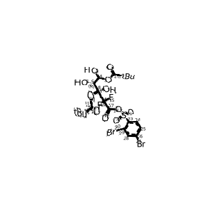 CC(C)(C)C(=O)OC(O)[C@@H](O)[C@](O)(OC(=O)C(C)(C)C)C(F)(F)C(=O)OS(=O)(=O)c1ccc(Br)cc1Br